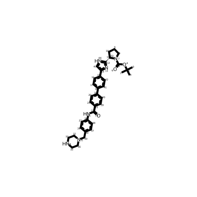 CC(C)(C)OC(=O)N1CCC[C@H]1c1nc(-c2ccc(-c3ccc(C(=O)Nc4ccc(CN5CCNCC5)cc4)cc3)cc2)c[nH]1